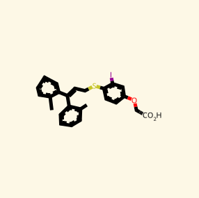 Cc1ccccc1C(=CCSc1ccc(OCC(=O)O)cc1I)c1ccccc1C